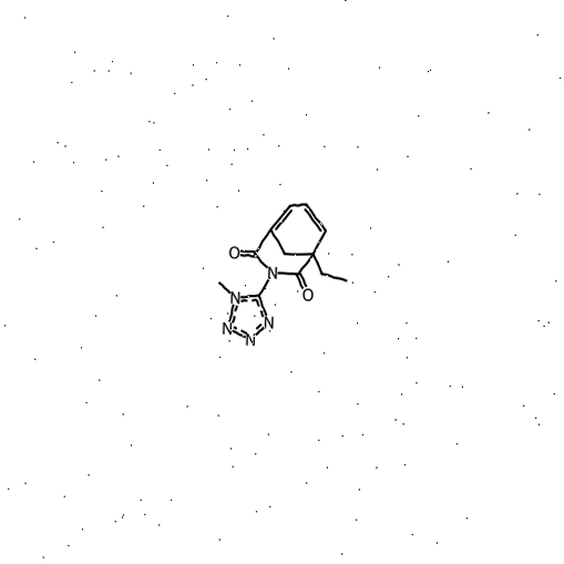 CCC12C=CC=C(C1)C(=O)N(c1nnnn1C)C2=O